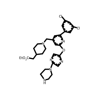 CCOC(=O)CC1CCN(Cc2cc(Oc3cnc(N4CCNCC4)cn3)nc(-c3cc(Cl)cc(Cl)c3)c2)CC1